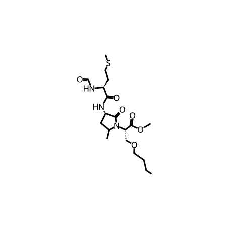 CCCCOC[C@@H](C(=O)OC)N1C(=O)[C@@H](NC(=O)[C@H](CCSC)NC=O)CC1C